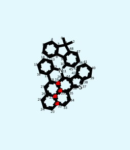 CC1(C)c2ccccc2-c2c(N(c3ccccc3-c3ccc4ccccc4c3)c3cc4ccccc4c4sc5ccccc5c34)cccc21